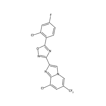 Fc1ccc(-c2nc(-c3cn4cc(C(F)(F)F)cc(Cl)c4n3)no2)c(Cl)c1